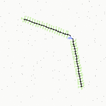 FC(F)(F)C(F)(F)C(F)(F)C(F)(F)C(F)(F)C(F)(F)C(F)(F)C(F)(F)C(F)(F)C(F)(F)C(F)(F)C(F)(F)C(F)(F)C(F)(F)C(F)(F)C(F)(F)C(F)(F)C(F)(F)C(F)(F)CNCC(F)(F)C(F)(F)C(F)(F)C(F)(F)C(F)(F)C(F)(F)C(F)(F)C(F)(F)C(F)(F)C(F)(F)C(F)(F)C(F)(F)C(F)(F)C(F)(F)C(F)(F)C(F)(F)C(F)(F)C(F)(F)C(F)(F)F